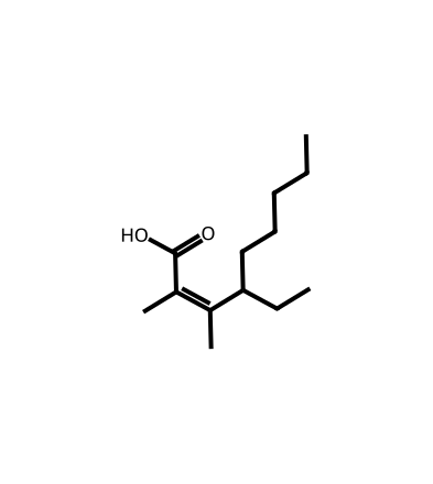 CCCCCC(CC)/C(C)=C(/C)C(=O)O